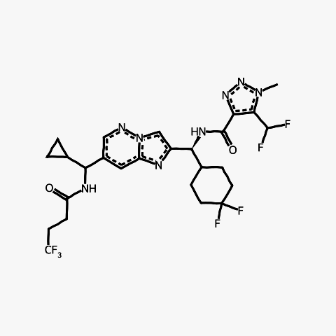 Cn1nnc(C(=O)N[C@H](c2cn3ncc(C(NC(=O)CCC(F)(F)F)C4CC4)cc3n2)C2CCC(F)(F)CC2)c1C(F)F